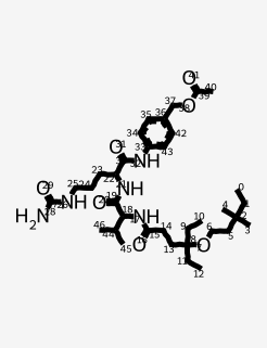 CCC(C)(C)CCOC(CC)(CC)CCC(=O)NC(C(=O)NC(CCCNC(N)=O)C(=O)Nc1ccc(COC(C)=O)cc1)C(C)C